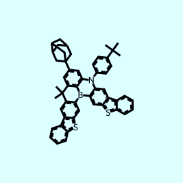 CC(C)(C)c1ccc(N2c3cc4c(cc3B3c5cc6sc7ccccc7c6cc5C(C)(C)c5cc(C67CC8CC(C6)C(C8)C7)cc2c53)sc2ccccc24)cc1